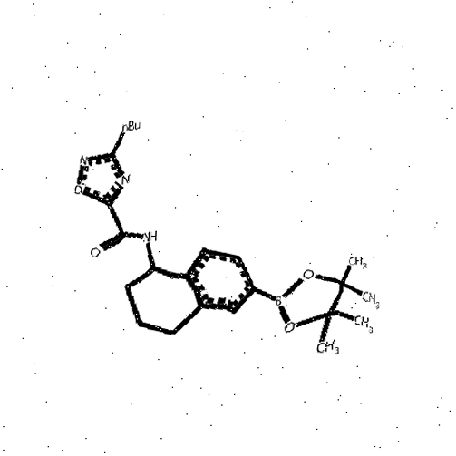 CCCCc1noc(C(=O)NC2CCCc3cc(B4OC(C)(C)C(C)(C)O4)ccc32)n1